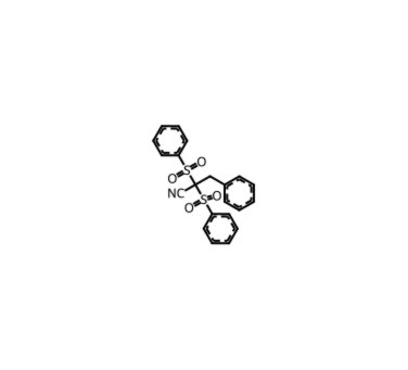 N#CC(Cc1ccccc1)(S(=O)(=O)c1ccccc1)S(=O)(=O)c1ccccc1